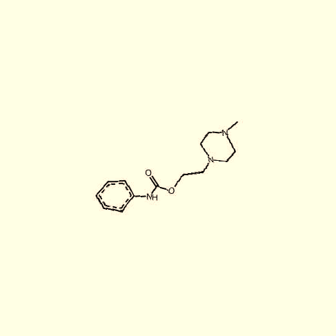 CN1CCN(CCOC(=O)Nc2ccccc2)CC1